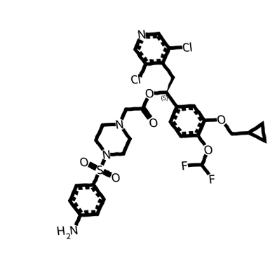 Nc1ccc(S(=O)(=O)N2CCN(CC(=O)O[C@@H](Cc3c(Cl)cncc3Cl)c3ccc(OC(F)F)c(OCC4CC4)c3)CC2)cc1